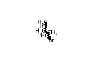 C=CCCNCCCC(C)=CCCC(C)=CC(O)c1ccc(Br)cc1